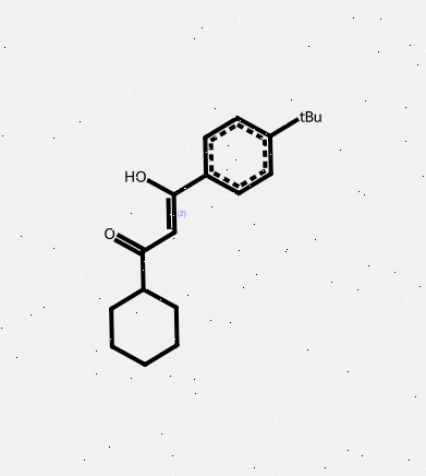 CC(C)(C)c1ccc(/C(O)=C/C(=O)C2CCCCC2)cc1